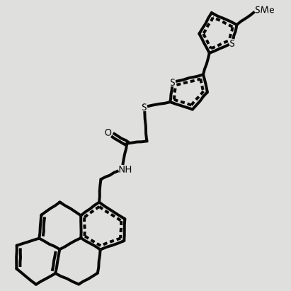 CSc1ccc(-c2ccc(SCC(=O)NCc3ccc4c5c3CC=C3C=CCC(=C35)CC4)s2)s1